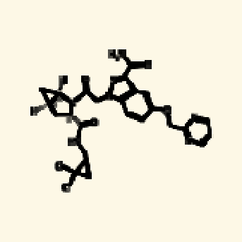 NC(=O)c1nn(CC(=O)N2[C@@H]3C[C@@H]3C[C@H]2C(=O)NCC2CC2(Cl)Cl)c2ccc(OCc3ncccn3)cc12